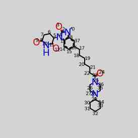 Cn1c(=O)n(C2CCC(=O)NC2=O)c2ccc(CCCCCCC(=O)N3CCN(C4CCCCC4)CC3)cc21